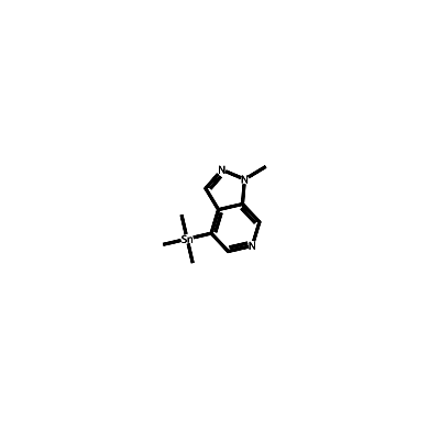 Cn1ncc2[c]([Sn]([CH3])([CH3])[CH3])cncc21